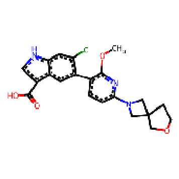 COc1nc(N2CC3(CCOC3)C2)ccc1-c1cc2c(C(=O)O)c[nH]c2cc1Cl